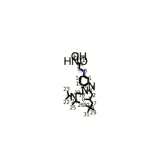 CC(Cc1nc2cc(/C=C/C(=O)NO)ccc2n1CCN(C(C)C)C(C)C)CC(C)(C)C